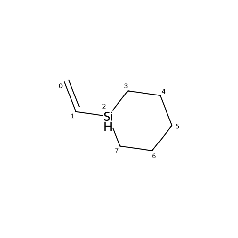 C=C[SiH]1CCCCC1